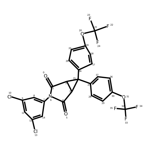 O=C1C2C(C(=O)N1c1cc(Cl)cc(Cl)c1)C2(c1ccc(OC(F)(F)F)cc1)c1ccc(OC(F)(F)F)cc1